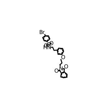 O=C1c2ccccc2C(=O)N1CCCOc1cccc(CCNS(=O)(=O)c2ccc(Br)cc2)c1